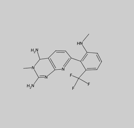 CNc1cccc(C(F)(F)F)c1-c1ccc2c(n1)N=C(N)N(C)C2N